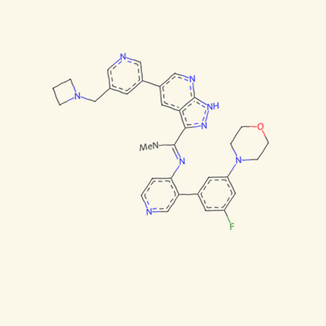 CN/C(=N\c1ccncc1-c1cc(F)cc(N2CCOCC2)c1)c1n[nH]c2ncc(-c3cncc(CN4CCC4)c3)cc12